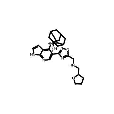 O[C@]12CC3CC(C1)[C@H](Nc1c(-c4noc(CNCC5CCCO5)n4)cnc4[nH]ccc14)C(C3)C2